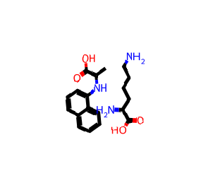 CC(Nc1cccc2ccccc12)C(=O)O.NCCCCC(N)C(=O)O